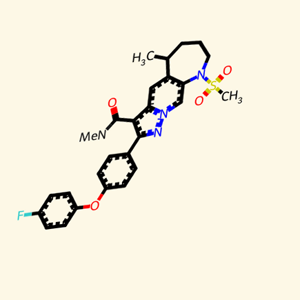 CNC(=O)c1c(-c2ccc(Oc3ccc(F)cc3)cc2)nn2cc3c(cc12)C(C)CCCN3S(C)(=O)=O